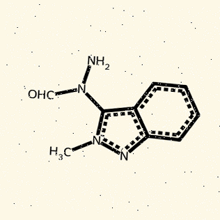 Cn1nc2ccccc2c1N(N)C=O